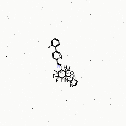 Cc1ccccc1-c1ccc(/C=C/[C@@H]2[C@@H]3[C@@H](C)OC(=O)[C@]3(Nc3nccn3C)CC(F)(F)[C@H]2C)nc1